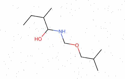 CCC(C)C(O)NCOCC(C)C